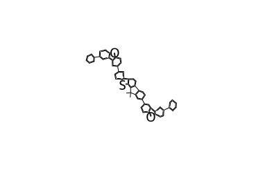 CC1(C)c2cc(-c3ccc4oc5ccc(-c6ccccc6)cc5c4c3)ccc2-c2ccc3c(sc4ccc(-c5ccc6oc7ccc(-c8ccccc8)cc7c6c5)cc43)c21